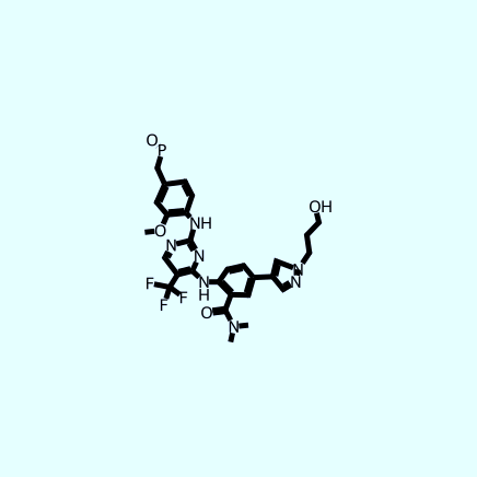 COc1cc(CP=O)ccc1Nc1ncc(C(F)(F)F)c(Nc2ccc(-c3cnn(CCCO)c3)cc2C(=O)N(C)C)n1